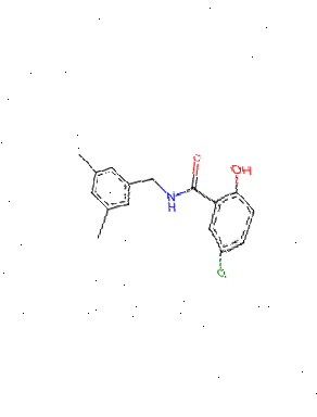 Cc1cc(C)cc(CNC(=O)c2cc(Cl)ccc2O)c1